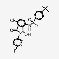 CC(C)(C)c1ccc(S(=O)(=O)Nc2ccc(Cl)c3c2C(O)N(c2ccc(F)nc2)C3=O)cc1